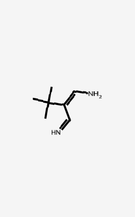 CC(C)(C)/C(C=N)=C/N